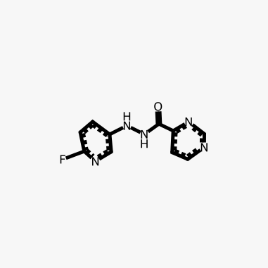 O=C(NNc1ccc(F)nc1)c1ccncn1